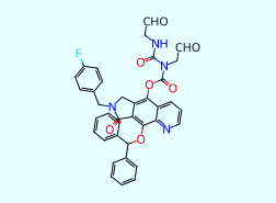 O=CCNC(=O)N(CC=O)C(=O)Oc1c2c(c(OC(c3ccccc3)c3ccccc3)c3ncccc13)C(=O)N(Cc1ccc(F)cc1)C2